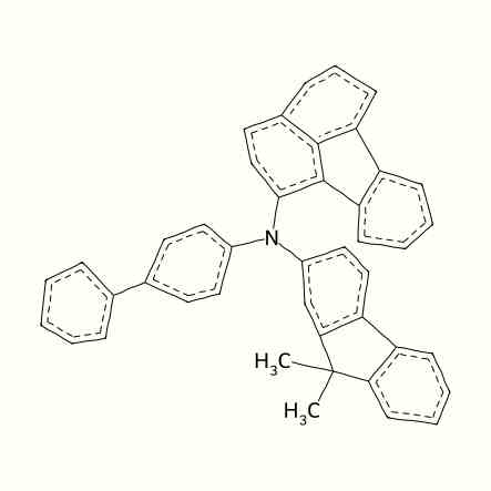 CC1(C)c2ccccc2-c2ccc(N(c3ccc(-c4ccccc4)cc3)c3ccc4cccc5c4c3-c3ccccc3-5)cc21